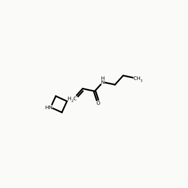 C1CNC1.C=CC(=O)NCCC